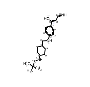 CC(C)(C)SNC1CCC(CNc2ccc(/C(O)=C/C=N)cc2)CC1